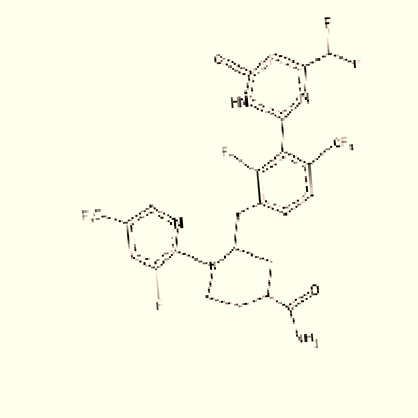 NC(=O)C1CCN(c2ncc(C(F)(F)F)cc2F)C(Cc2ccc(C(F)(F)F)c(-c3nc(C(F)F)cc(=O)[nH]3)c2F)C1